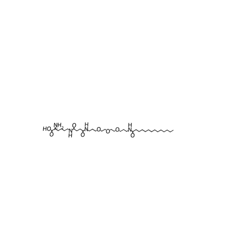 CCCCCCCCCCCCCC(=O)NCCCOCCOCCOCCCNC(=O)CCC(=O)NCCCC[C@H](N)C(=O)O